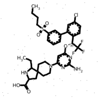 CCCCS(=O)(=O)c1cccc(-c2cc(Cl)ccc2[C@@H](Oc2cc(N3CCC4(CC3)CC(C(=O)O)NC4CC)nc(N)n2)C(F)(F)F)c1